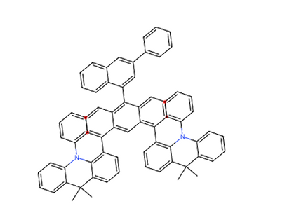 CC1(C)c2ccccc2N(c2ccccc2)c2c(-c3cccc4c(-c5cc(-c6ccccc6)cc6ccccc56)c5cccc(-c6cccc7c6N(c6ccccc6)c6ccccc6C7(C)C)c5cc34)cccc21